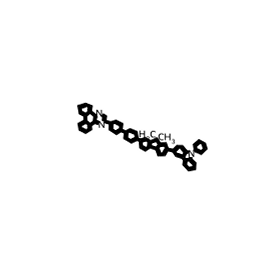 CC1(C)c2cc(-c3ccc(-c4ccc(-c5cnc6c7ccccc7c7ccccc7c6n5)cc4)cc3)ccc2-c2ccc(-c3ccc4c(c3)c3ccccc3n4-c3ccccc3)cc21